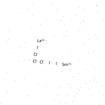 [Cl-].[Cl-].[Cl-].[I-].[I-].[I-].[La+3].[Sm+3]